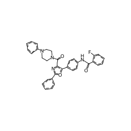 O=C(Nc1ccc(-c2oc(-c3ccccc3)nc2C(=O)N2CCN(c3ccccc3)CC2)cc1)c1ccccc1F